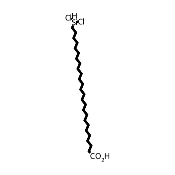 O=C(O)CCCCCCCCCCCCCCCCCCCCCCCCC[SiH](Cl)Cl